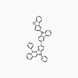 c1ccc(-c2c3ccccc3cc3c2c2cc(-c4ccc5c(c4)c4ccccc4n5-c4ccc5oc6ccccc6c5c4)ccc2n3-c2ccccc2)cc1